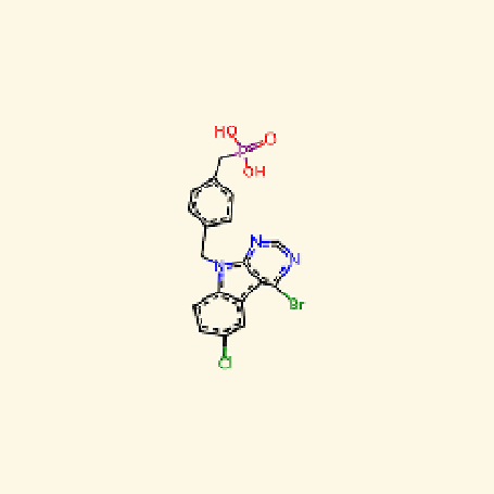 O=P(O)(O)Cc1ccc(Cn2c3ccc(Cl)cc3c3c(Br)ncnc32)cc1